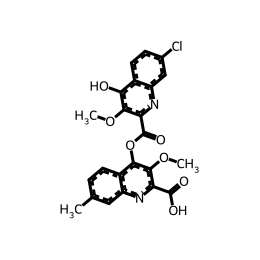 COc1c(C(=O)Oc2c(OC)c(C(=O)O)nc3cc(C)ccc23)nc2cc(Cl)ccc2c1O